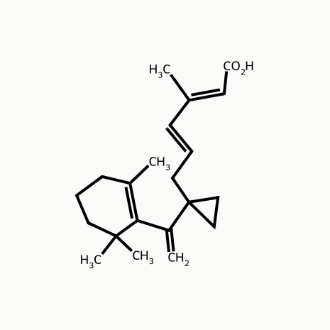 C=C(C1=C(C)CCCC1(C)C)C1(CC=CC(C)=CC(=O)O)CC1